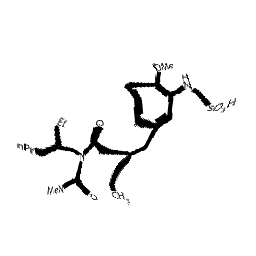 CCCC(CC)N(C(=O)NC)C(=O)C(C)Cc1ccc(OC)c(NS(=O)(=O)O)c1